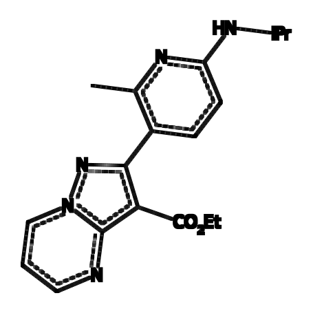 CCOC(=O)c1c(-c2ccc(NC(C)C)nc2C)nn2cccnc12